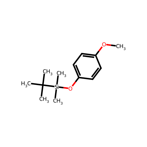 COc1ccc(O[Si](C)(C)C(C)(C)C)cc1